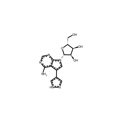 Nc1ncnc2c1c(-c1cn[nH]c1)cn2[C@@H]1O[C@H](CO)[C@@H](O)[C@H]1O